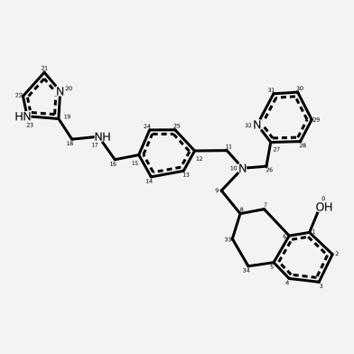 Oc1cccc2c1CC(CN(Cc1ccc(CNCc3ncc[nH]3)cc1)Cc1ccccn1)CC2